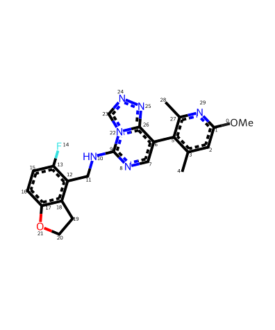 COc1cc(C)c(-c2cnc(NCc3c(F)ccc4c3CCO4)n3cnnc23)c(C)n1